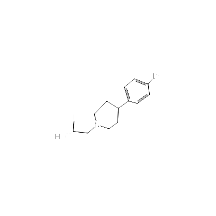 C[C@H](F)CN1CCC(c2ccc(Br)cc2)CC1